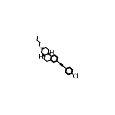 CCCC[C@@H]1CC[C@@H]2c3ccc(C#Cc4ccc(Cl)cc4)cc3CC[C@@H]2C1